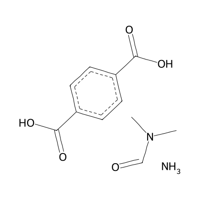 CN(C)C=O.N.O=C(O)c1ccc(C(=O)O)cc1